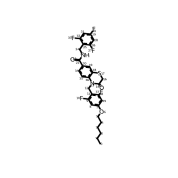 CCCCCCOc1cc(F)c(CN2C(=O)CSc3cc(C(=O)NCc4c(F)cc(F)cc4F)ccc32)c(F)c1